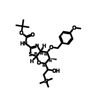 COc1ccc(CO[C@H]2[C@H](C)[C@@H](C(O)C[Si](C)(C)C)O[C@@H]3SC(NC(=O)OC(C)(C)C)=N[C@H]23)cc1